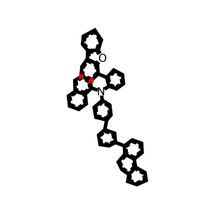 c1cc(-c2ccc(N(c3ccccc3-c3cccc4c3oc3ccccc34)c3cccc4ccccc34)cc2)cc(-c2cccc3c2ccc2ccccc23)c1